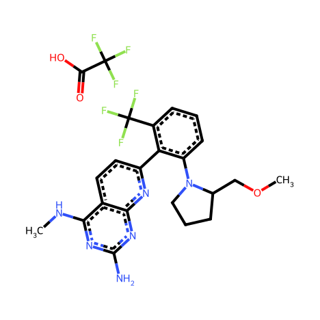 CNc1nc(N)nc2nc(-c3c(N4CCCC4COC)cccc3C(F)(F)F)ccc12.O=C(O)C(F)(F)F